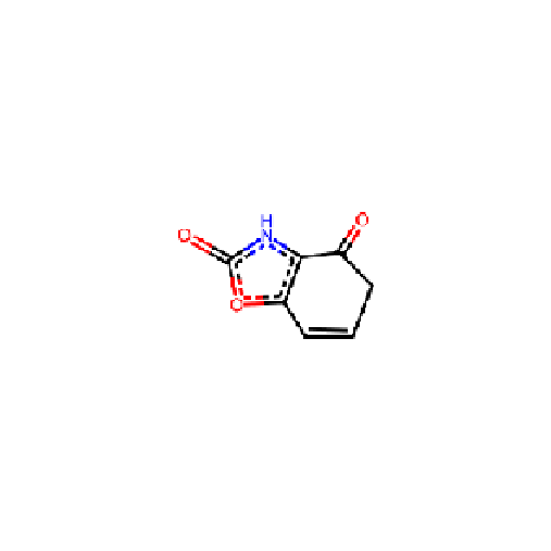 O=C1CC=Cc2oc(=O)[nH]c21